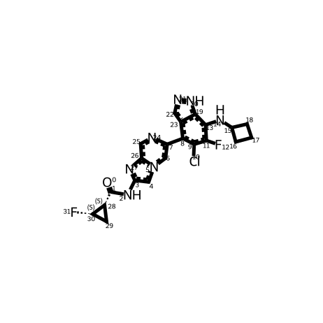 O=C(Nc1cn2cc(-c3c(Cl)c(F)c(NC4CCC4)c4[nH]ncc34)ncc2n1)[C@@H]1C[C@@H]1F